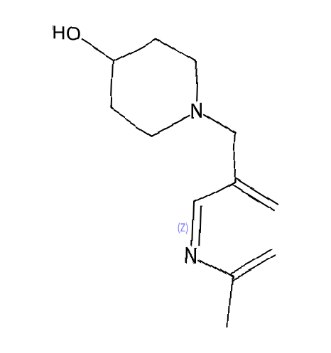 C=C(/C=N\C(=C)C)CN1CCC(O)CC1